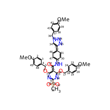 COc1ccc(COc2nc(S(C)(=O)=O)nc(OCc3ccc(OC)cc3)c2C(=O)Nc2ccc(-c3cn(Cc4ccc(OC)cc4)nn3)cc2)cc1